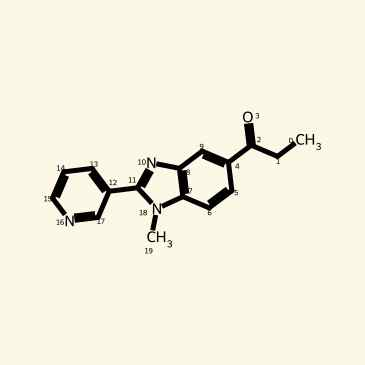 CCC(=O)c1ccc2c(c1)nc(-c1cccnc1)n2C